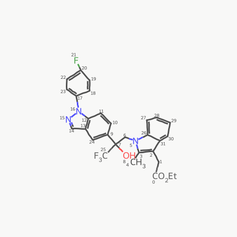 CCOC(=O)Cc1c(C)n(CC(O)(c2ccc3c(cnn3-c3ccc(F)cc3)c2)C(F)(F)F)c2ccccc12